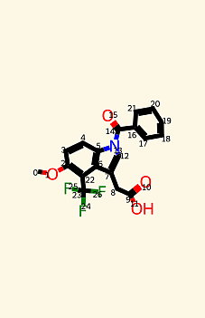 COc1ccc2c(c(CC(=O)O)cn2C(=O)c2ccccc2)c1C(F)(F)F